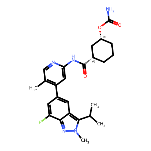 Cc1cnc(NC(=O)[C@H]2CCC[C@@H](OC(N)=O)C2)cc1-c1cc(F)c2nn(C)c(C(C)C)c2c1